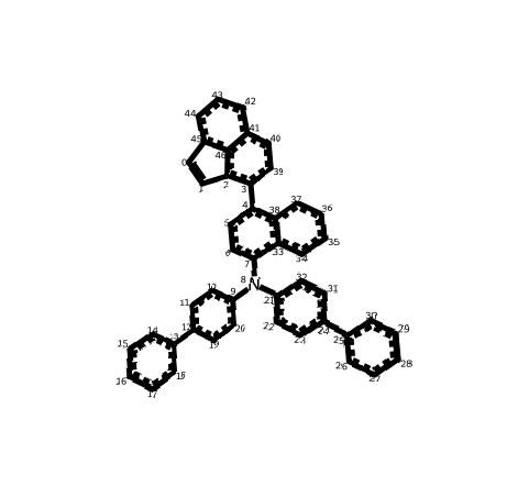 C1=Cc2c(-c3ccc(N(c4ccc(-c5ccccc5)cc4)c4ccc(-c5ccccc5)cc4)c4ccccc34)ccc3cccc1c23